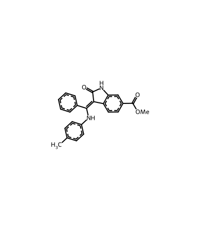 COC(=O)c1ccc2c(c1)NC(=O)C2=C(Nc1ccc(C)cc1)c1ccccc1